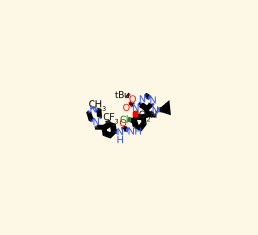 CN1CCN(Cc2ccc(NC(=O)Nc3ccc(-c4cn(C5CC5)c5ncnc(N(C(=O)O)C(=O)OC(C)(C)C)c45)cc3Cl)cc2C(F)(F)F)CC1